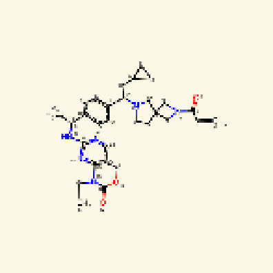 C=CC(=O)N1CC2(CCN(C(CC3CC3)c3ccc([C@H](C)Nc4ncc5c(n4)N(CC)C(=O)OC5)cc3)C2)C1